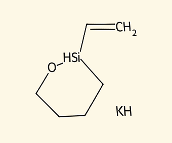 C=C[SiH]1CCCCO1.[KH]